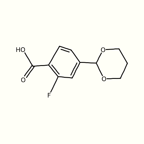 O=C(O)c1ccc(C2OCCCO2)cc1F